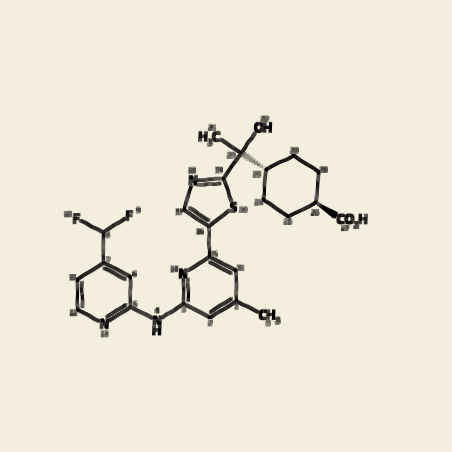 Cc1cc(Nc2cc(C(F)F)ccn2)nc(-c2cnc(C(C)(O)[C@H]3CC[C@H](C(=O)O)CC3)s2)c1